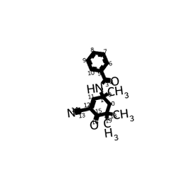 CC1(NC(=O)c2ccccc2)C=C(C#N)C(=O)C(C)(C)C1